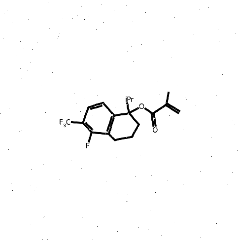 C=C(C)C(=O)OC1(C(C)C)CCCc2c1ccc(C(F)(F)F)c2F